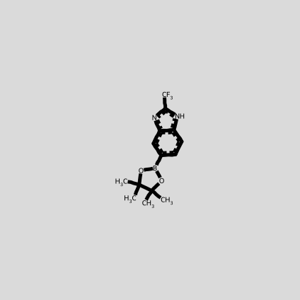 CC1(C)OB(c2ccc3[nH]c(C(F)(F)F)nc3c2)OC1(C)C